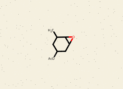 CC(=O)OC1CC(C)C2OC2C1